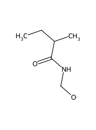 CCC(C)C(=O)NC[O]